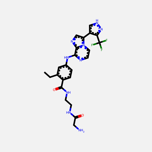 CCc1cc(Nc2nccn3c(-c4c[nH]nc4C(F)(F)F)cnc23)ccc1C(=O)NCCNC(=O)CN